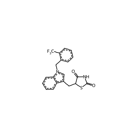 O=C1NC(=O)C(Cc2cn(Cc3ccccc3C(F)(F)F)c3ccccc23)S1